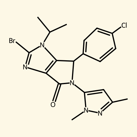 Cc1cc(N2C(=O)c3nc(Br)n(C(C)C)c3C2c2ccc(Cl)cc2)n(C)n1